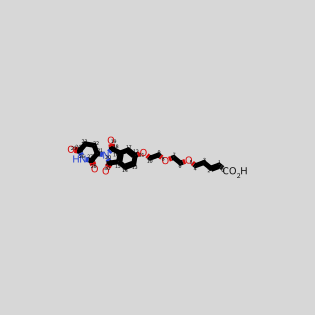 O=C(O)/C=C/CCOCCOCCOc1ccc2c(c1)C(=O)N(C1CCC(=O)NC1=O)C2=O